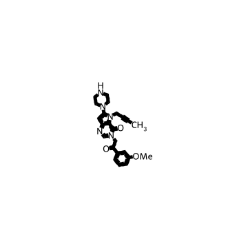 CC#CCn1c(N2CCNCC2)cc2ncn(CC(=O)c3cccc(OC)c3)c(=O)c21